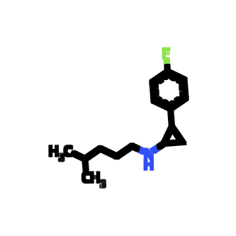 CC(C)CCCNC1CC1c1ccc(F)cc1